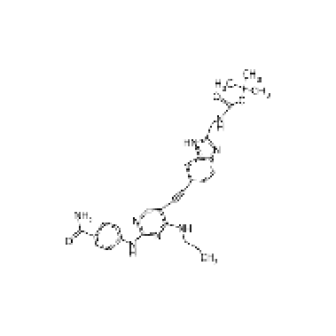 CCCNc1nc(Nc2ccc(C(N)=O)cc2)ncc1C#Cc1ccc2nc(CNC(=O)OC(C)(C)C)[nH]c2c1